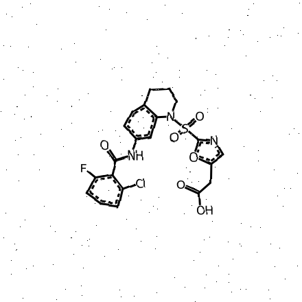 O=C(O)Cc1cnc(S(=O)(=O)N2CCCc3ccc(NC(=O)c4c(F)cccc4Cl)cc32)o1